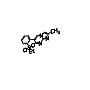 CCS(=O)(=O)c1ccccc1-c1cnc2nc(C)cn2c1